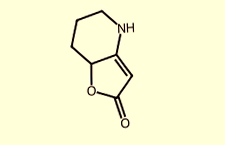 O=C1C=C2NCCCC2O1